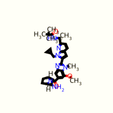 COc1cc(C(=O)N2[C@H]3CC[C@@H]2[C@H](N)C3)cc2nc(-c3cc4ccc([C@@H](C)NC(=O)C(C)(C)C)nc4n3CC3CC3)n(C)c12